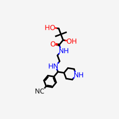 CC(C)(CO)C(O)C(=O)NCCNC(c1ccc(C#N)cc1)C1CCNCC1